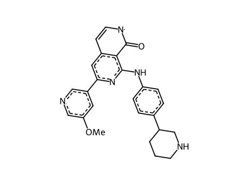 COc1cncc(-c2cc3c(c(Nc4ccc(C5CCCNC5)cc4)n2)C(=O)[N]C=C3)c1